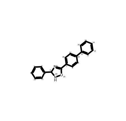 c1ccc([C]2N=C(c3ccc(-c4ccccc4)cc3)ON2)cc1